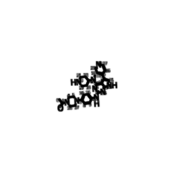 CC(=O)N1CCN(c2ccc(Nc3nc(N(C)C4CCNCC4)c4c(-c5ccncc5)c[nH]c4n3)cc2)CC1